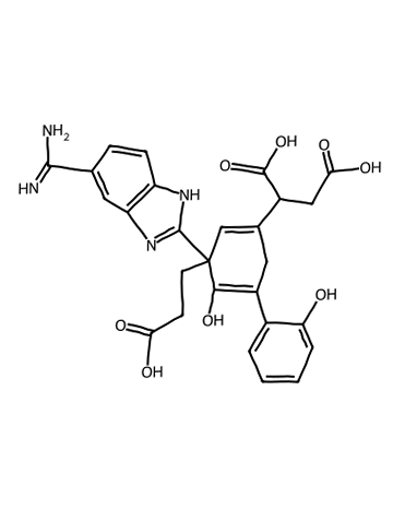 N=C(N)c1ccc2[nH]c(C3(CCC(=O)O)C=C(C(CC(=O)O)C(=O)O)CC(c4ccccc4O)=C3O)nc2c1